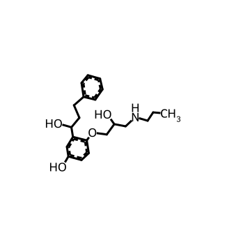 CCCNCC(O)COc1ccc(O)cc1C(O)CCc1ccccc1